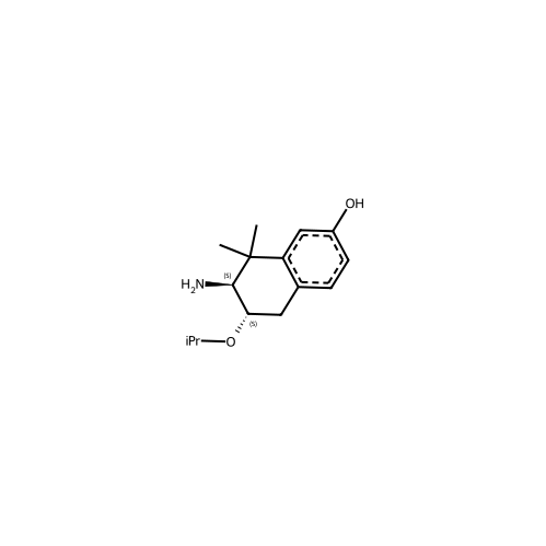 CC(C)O[C@H]1Cc2ccc(O)cc2C(C)(C)[C@@H]1N